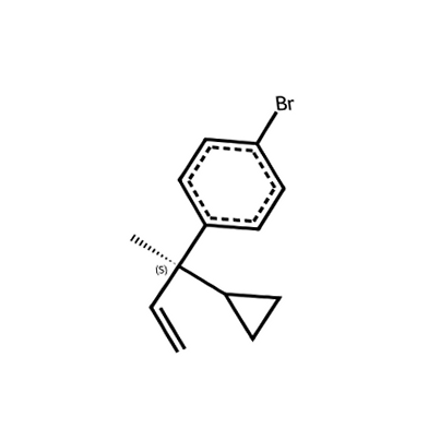 C=C[C@@](C)(c1ccc(Br)cc1)C1CC1